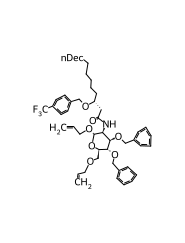 C=CCOC[C@H]1O[C@H](OCC=C)[C@@H](NC(=O)C[C@@H](CCCCCCCCCCCCCCC)OCc2ccc(C(F)(F)F)cc2)[C@@H](OCc2ccccc2)[C@@H]1OCc1ccccc1